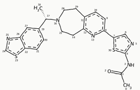 CC(=O)Nc1ncc(-c2ccc3c(n2)CCN([C@@H](C)c2ccc4scnc4c2)CC3)s1